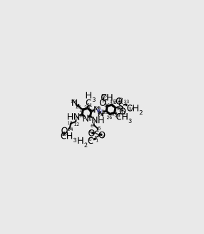 C=CS(=O)(=O)CCNc1nc(NCCCOC)c(C#N)c(C)c1/N=N/c1cc(C)c(S(=O)(=O)C=C)cc1OC